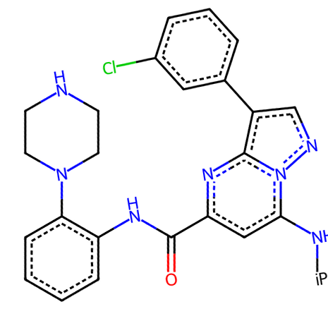 CC(C)Nc1cc(C(=O)Nc2ccccc2N2CCNCC2)nc2c(-c3cccc(Cl)c3)cnn12